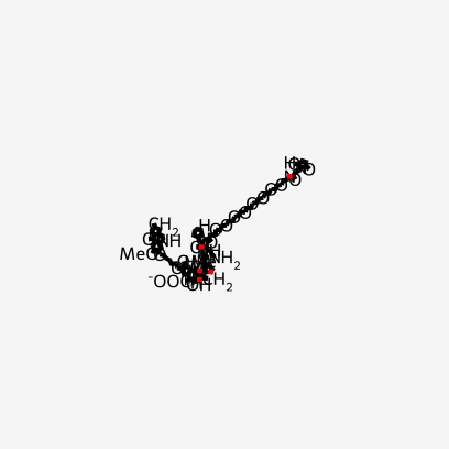 C=C1CC2=CNc3cc(OCCCCCOc4cc5c(cc4OC)C(=O)[N@+]4(Cc6ccccc6NC(=O)CNC(=O)[C@](CCCCN)(Cc6ccccc6)NC(=O)CCOCCOCCOCCOCCOCCOCCOCCOCCNC(=O)CCN6C(=O)C=CC6=O)CC(=C)C[C@H]4[C@H](O)N5C(=O)[O-])c(OC)cc3C(=O)N2C1